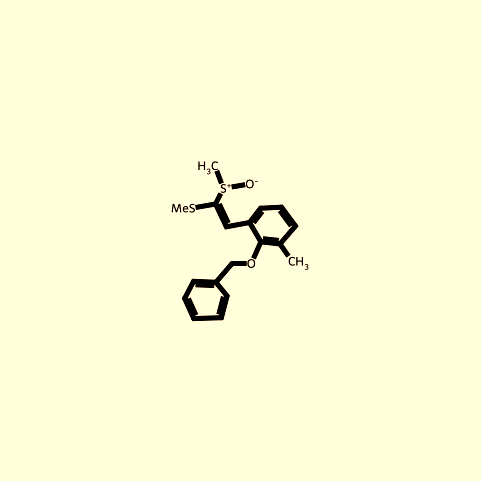 CSC(=Cc1cccc(C)c1OCc1ccccc1)[S+](C)[O-]